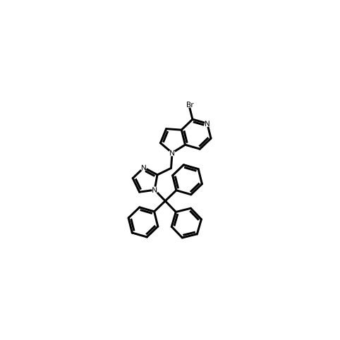 Brc1nccc2c1ccn2Cc1nccn1C(c1ccccc1)(c1ccccc1)c1ccccc1